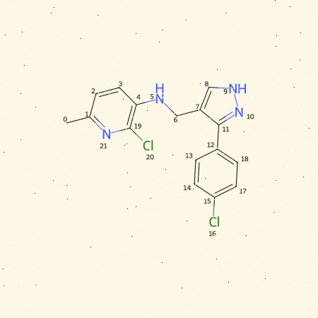 Cc1ccc(NCc2c[nH]nc2-c2ccc(Cl)cc2)c(Cl)n1